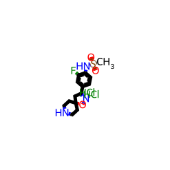 CS(=O)(=O)Nc1ccc(C2=NOC3(CCNCC3)C2)cc1F.Cl.Cl